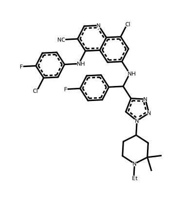 CCN1CCC(n2cc(C(Nc3cc(Cl)c4ncc(C#N)c(Nc5ccc(F)c(Cl)c5)c4c3)c3ccc(F)cc3)nn2)CC1(C)C